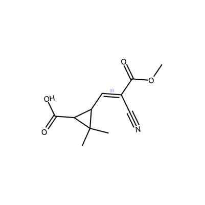 COC(=O)/C(C#N)=C/C1C(C(=O)O)C1(C)C